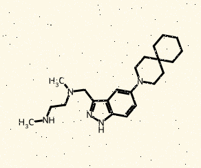 CNCCN(C)Cc1n[nH]c2ccc(N3CCC4(CCCCC4)CC3)cc12